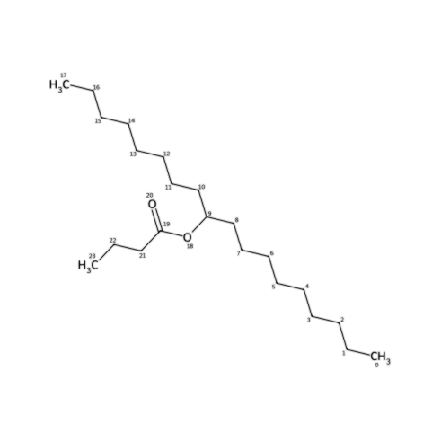 CCCCCCCCCC(CCCCCCCC)OC(=O)CCC